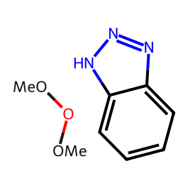 COOOC.c1ccc2[nH]nnc2c1